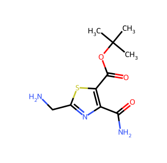 CC(C)(C)OC(=O)c1sc(CN)nc1C(N)=O